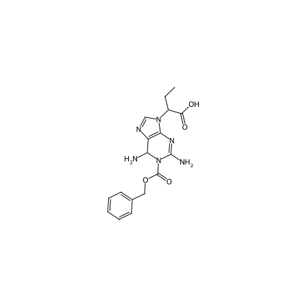 CCC(C(=O)O)n1cnc2c1N=C(N)N(C(=O)OCc1ccccc1)C2N